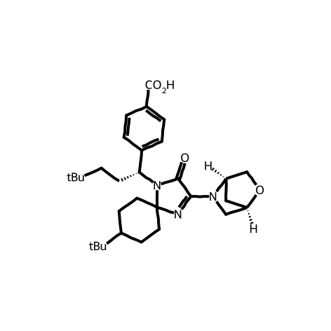 CC(C)(C)CC[C@H](c1ccc(C(=O)O)cc1)N1C(=O)C(N2C[C@H]3C[C@@H]2CO3)=NC12CCC(C(C)(C)C)CC2